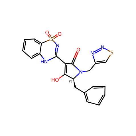 O=C1C(C2=NS(=O)(=O)c3ccccc3N2)=C(O)[C@H](Cc2ccccc2)N1Cc1csnn1